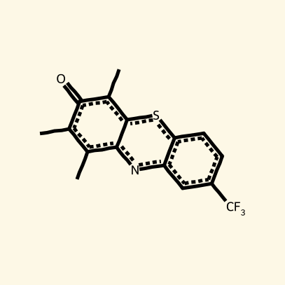 Cc1c2nc3cc(C(F)(F)F)ccc3sc-2c(C)c(=O)c1C